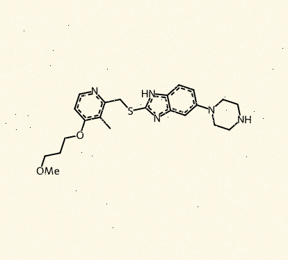 COCCCOc1ccnc(CSc2nc3cc(N4CCNCC4)ccc3[nH]2)c1C